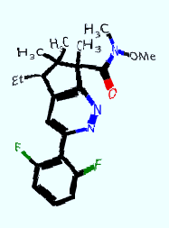 CC[C@@H]1c2cc(-c3c(F)cccc3F)nnc2C(C)(C(=O)N(C)OC)C1(C)C